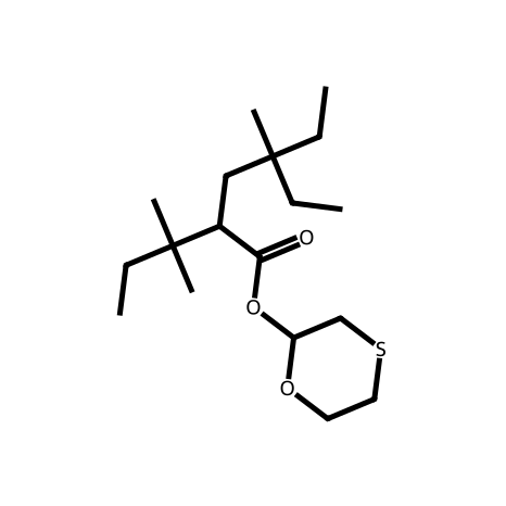 CCC(C)(CC)CC(C(=O)OC1CSCCO1)C(C)(C)CC